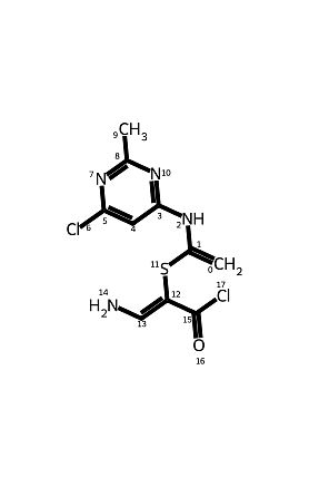 C=C(Nc1cc(Cl)nc(C)n1)S/C(=C\N)C(=O)Cl